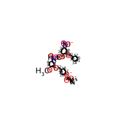 COc1ccc([N+](=O)[O-])cc1OCc1ccccc1.COc1ccc([N+](=O)[O-])cc1OCc1ccccc1.O=C([O-])[O-].[K+].[K+]